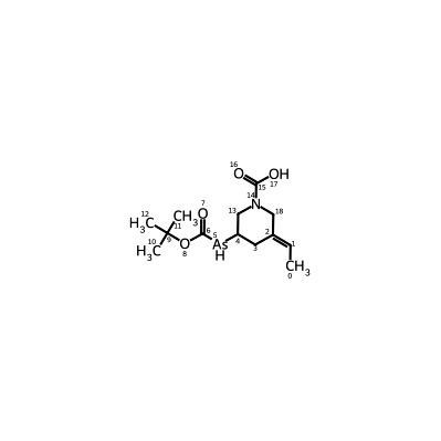 CC=C1CC([AsH]C(=O)OC(C)(C)C)CN(C(=O)O)C1